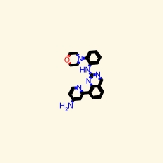 Nc1ccnc(-c2cccc3cnc(Nc4ccccc4N4CCOCC4)nc23)c1